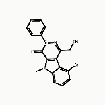 Cn1c2cccc(Br)c2c2c(CC#N)nn(-c3ccccc3)c(=O)c21